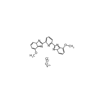 COC1=CC=CC2N=C(c3cccc(C4=NC5C=CC=C(OC)C5=N4)n3)N=C12.[Cl-].[Cl-].[Cl-].[V+3]